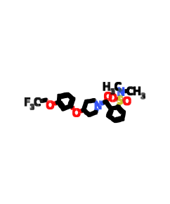 CN(C)S(=O)(=O)c1ccccc1C(=O)N1CCC(Oc2cccc(OCC(F)(F)F)c2)CC1